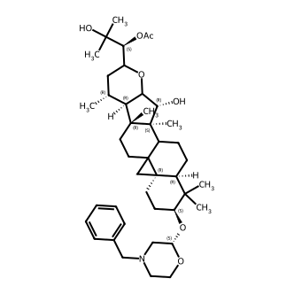 CC(=O)O[C@@H](C1C[C@@H](C)[C@H]2C(O1)[C@H](O)[C@@]1(C)C3CC[C@H]4C(C)(C)[C@@H](O[C@H]5CN(Cc6ccccc6)CCO5)CC[C@@]45CC35CC[C@]21C)C(C)(C)O